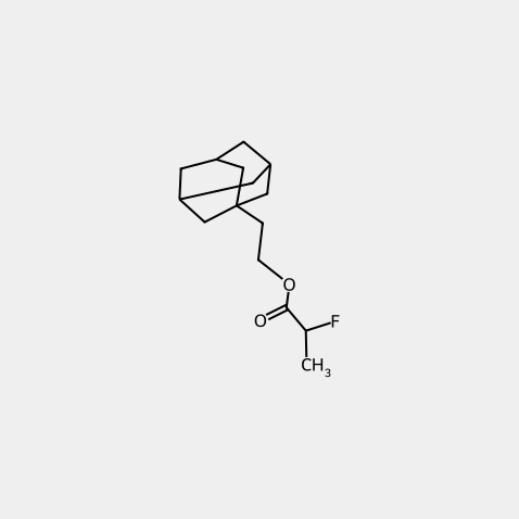 CC(F)C(=O)OCCC12CC3CC(CC(C3)C1)C2